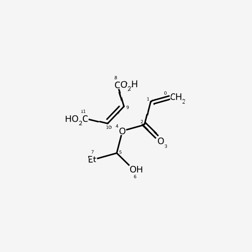 C=CC(=O)OC(O)CC.O=C(O)/C=C\C(=O)O